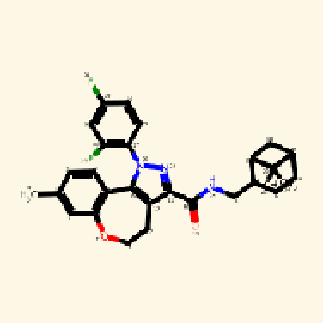 Cc1ccc2c(c1)OCCc1c(C(=O)NCC3CCC4CC3C4(C)C)nn(-c3ccc(F)cc3F)c1-2